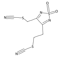 N#CSCCC1=NS(=O)(=O)N=C1CSC#N